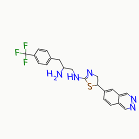 NC(CNC1=NCC(c2ccc3cnncc3c2)S1)Cc1ccc(C(F)(F)F)cc1